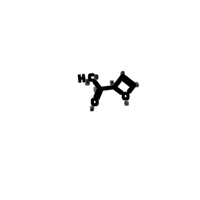 CC(=O)C1C=CO1